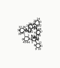 c1ccc(-c2cc(-c3ccccc3)nc(-c3cccc(-n4c5ccccc5c5ccc6c(ccn6-c6ccccc6)c54)c3)n2)cc1